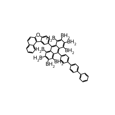 Bc1c(B)c(B)c2c(-c3ccc4oc5ccc6ccccc6c5c4c3)c3c(B)c(B)c(B)c(B)c3c(-c3ccc(-c4ccc(-c5ccccc5)cc4)cc3)c2c1B